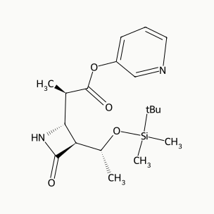 C[C@@H](O[Si](C)(C)C(C)(C)C)[C@H]1C(=O)N[C@@H]1[C@@H](C)C(=O)Oc1cccnc1